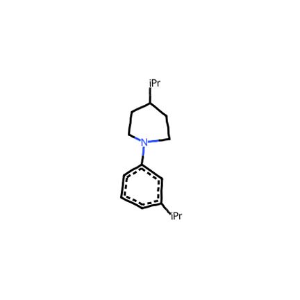 CC(C)c1cccc(N2CCC(C(C)C)CC2)c1